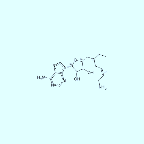 CCN(C/C=C\CN)C[C@H]1O[C@@H](n2cnc3c(N)ncnc32)C(O)C1O